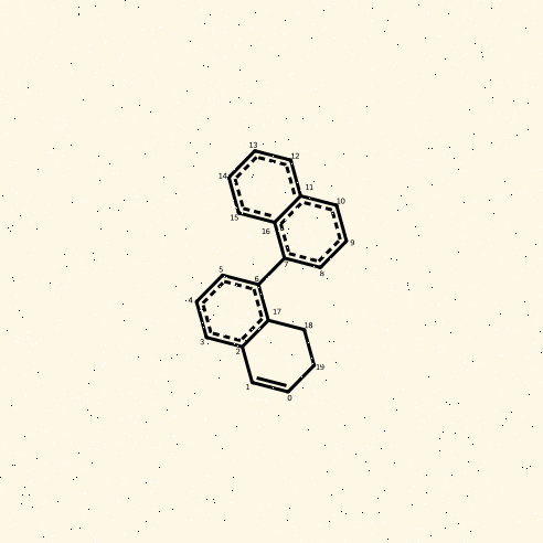 C1=Cc2cccc(-c3cccc4ccccc34)c2CC1